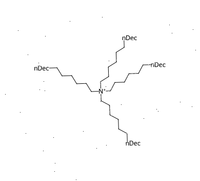 CCCCCCCCCCCCCCCC[N+](CCCCCCCCCCCCCCCC)(CCCCCCCCCCCCCCCC)CCCCCCCCCCCCCCCC